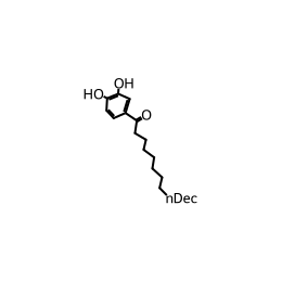 CCCCCCCCCCCCCCCCCC(=O)c1ccc(O)c(O)c1